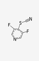 N#CSc1c(F)cncc1F